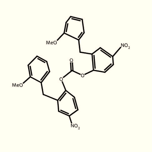 COc1ccccc1Cc1cc([N+](=O)[O-])ccc1OC(=O)Oc1ccc([N+](=O)[O-])cc1Cc1ccccc1OC